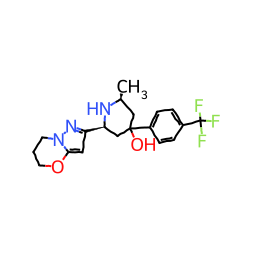 C[C@H]1CC(O)(c2ccc(C(F)(F)F)cc2)C[C@@H](c2cc3n(n2)CCCO3)N1